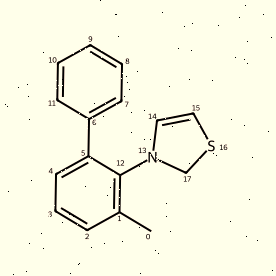 Cc1cccc(-c2ccccc2)c1N1C=CSC1